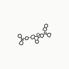 c1ccc(N(c2ccccc2)c2ccc(-c3ccc4c(c3)c3ccccc3c3c5ccc(N(c6ccccc6)c6ccc7ccccc7c6)cc5oc43)cc2)cc1